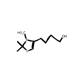 CC1(C)OC=C(CCCCO)N1C(=O)O